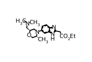 CCOC(=O)Cc1nc2ccc(N3C[C@H](CN(C)C)OC[C@H]3C)cc2[nH]1